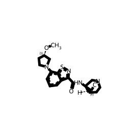 CO[C@H]1CCN(c2cccc3c(C(=O)N[C@H]4CN5CCC4CC5)nsc23)C1